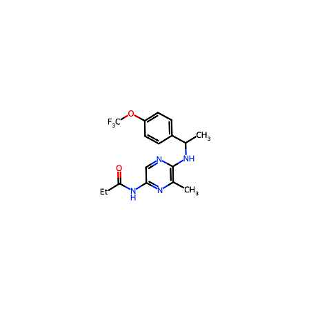 CCC(=O)Nc1cnc(NC(C)c2ccc(OC(F)(F)F)cc2)c(C)n1